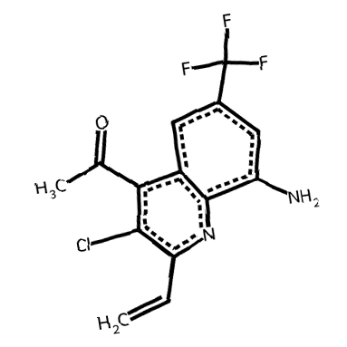 C=Cc1nc2c(N)cc(C(F)(F)F)cc2c(C(C)=O)c1Cl